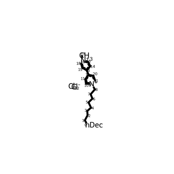 CCCCCCCCCCCCCCCCCC[n+]1ccc(-c2cc[n+](C)cc2)cc1.[Cl-].[Cl-]